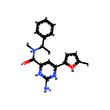 Cc1ccc(-c2cc(C(=O)N(C)C(C)c3ccccc3)nc(N)n2)o1